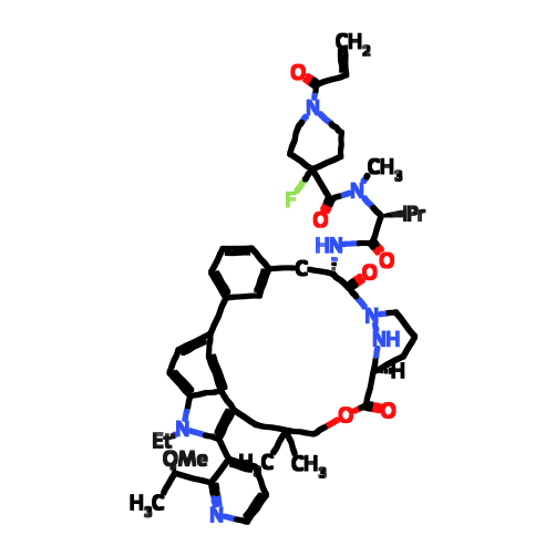 C=CC(=O)N1CCC(F)(C(=O)N(C)[C@H](C(=O)N[C@H]2Cc3cccc(c3)-c3ccc4c(c3)c(c(-c3cccnc3[C@H](C)OC)n4CC)CC(C)(C)COC(=O)[C@@H]3CCCN(N3)C2=O)C(C)C)CC1